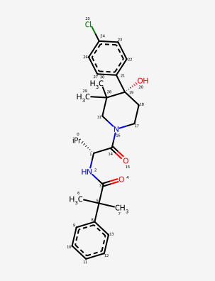 CC(C)[C@@H](NC(=O)C(C)(C)c1ccccc1)C(=O)N1CC[C@](O)(c2ccc(Cl)cc2)C(C)(C)C1